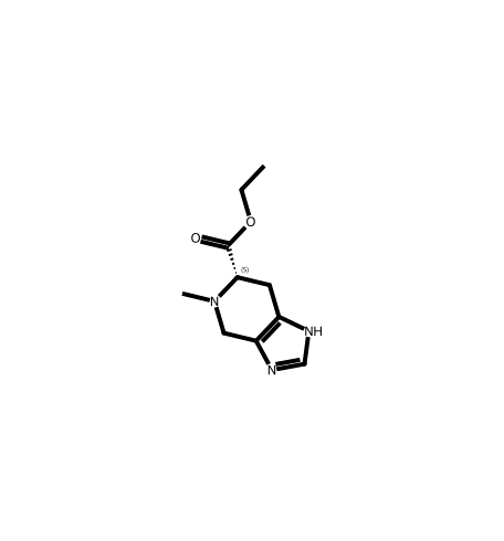 CCOC(=O)[C@@H]1Cc2[nH]cnc2CN1C